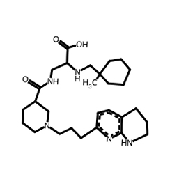 CC1(CNC(CNC(=O)C2CCCN(CCCc3ccc4c(n3)NCCC4)C2)C(=O)O)CCCCC1